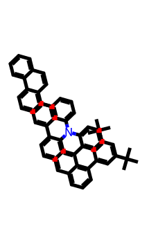 CC(C)(C)c1cc(-c2cccc3cccc(-c4ccccc4N(c4cccc(-c5cccc6c5ccc5ccccc56)c4)c4ccccc4-c4ccccc4)c23)cc(C(C)(C)C)c1